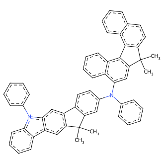 CC1(C)c2cc(N(c3ccccc3)c3cc4c(c5ccccc35)-c3c(ccc5ccccc35)C4(C)C)ccc2-c2cc3c(cc21)c1ccccc1n3-c1ccccc1